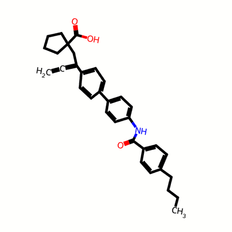 C=C=C(CC1(C(=O)O)CCCC1)c1ccc(-c2ccc(NC(=O)c3ccc(CCCC)cc3)cc2)cc1